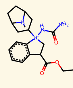 CCOC(=O)C1C[N+](NC(N)=O)(C2CC3CCC(C2)N3C)c2ccccc21